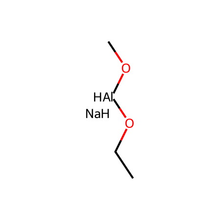 CC[O][AlH][O]C.[NaH]